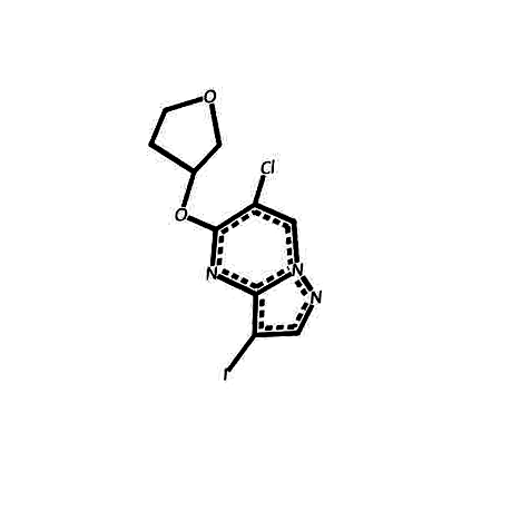 Clc1cn2ncc(I)c2nc1OC1CCOC1